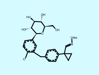 CON=CC1(c2ccc(Cc3cc([C@@H]4O[C@H](CO)[C@@H](O)[C@H](O)[C@H]4O)ccc3Cl)cc2)CC1